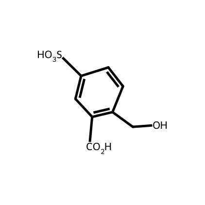 O=C(O)c1cc(S(=O)(=O)O)ccc1CO